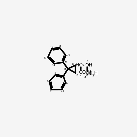 O=C(O)O.O=C(O)O.c1ccc(C2(c3ccccc3)CC2)cc1